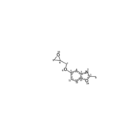 Cc1nc2cc(OCC3CO3)ccc2o1